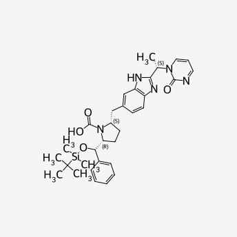 C[C@@H](c1nc2ccc(C[C@@H]3CC[C@H](C(O[Si](C)(C)C(C)(C)C)c4ccccc4)N3C(=O)O)cc2[nH]1)n1cccnc1=O